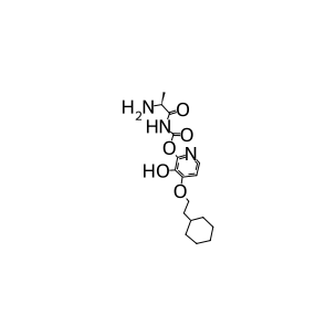 C[C@H](N)C(=O)NC(=O)Oc1nccc(OCCC2CCCCC2)c1O